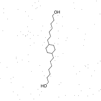 OCCCCCCCC1CCC(CCCCCCCO)CC1